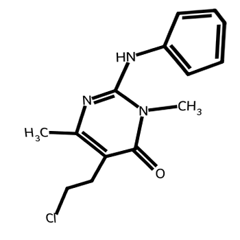 Cc1nc(Nc2ccccc2)n(C)c(=O)c1CCCl